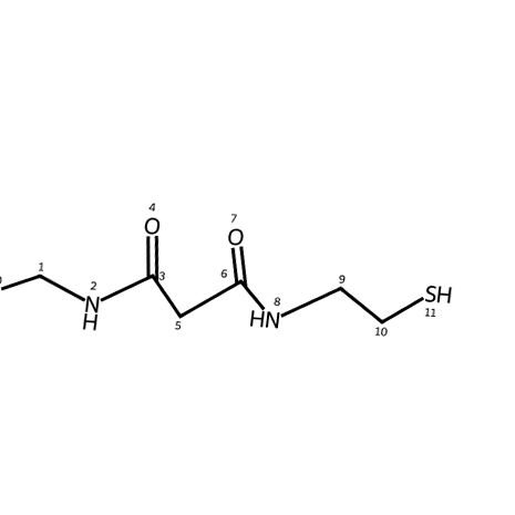 CCNC(=O)CC(=O)NCCS